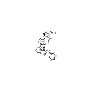 CC(C)CC(NC(=O)[C@@H]1CCCC[C@@H]1NC(=O)CN1CCOCC1)C(=O)c1nnc(SC(C)C)o1